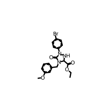 CCOC(=O)C1NN(c2ccc(Br)cc2)C(=O)N1Cc1cccc(OC)c1